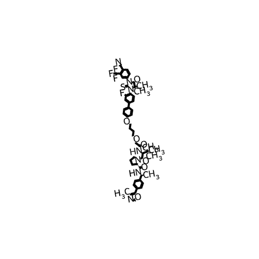 Cc1ncoc1-c1ccc([C@H](C)NC(=O)[C@@H]2CCCN2C(=O)[C@@H](NC(=O)COCCCCOc2ccc(-c3ccc(N4C(=S)N(c5ccc(C#N)c(C(F)(F)F)c5)C(=O)C4(C)C)c(F)c3)cc2)C(C)(C)C)cc1